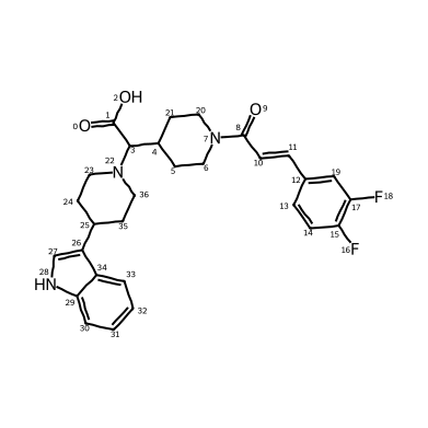 O=C(O)C(C1CCN(C(=O)C=Cc2ccc(F)c(F)c2)CC1)N1CCC(c2c[nH]c3ccccc23)CC1